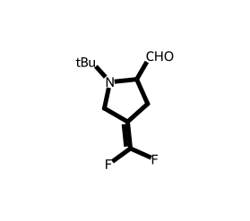 CC(C)(C)N1CC(=C(F)F)CC1C=O